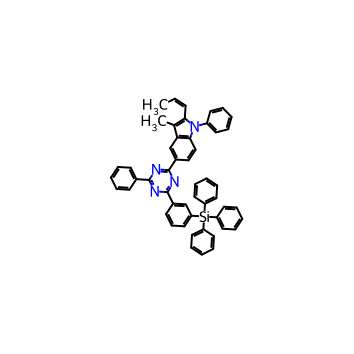 C/C=C\c1c(C)c2cc(-c3nc(-c4ccccc4)nc(-c4cccc([Si](c5ccccc5)(c5ccccc5)c5ccccc5)c4)n3)ccc2n1-c1ccccc1